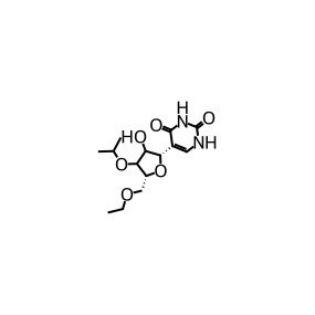 CCOC[C@H]1O[C@@H](c2c[nH]c(=O)[nH]c2=O)C(O)C1OC(C)C